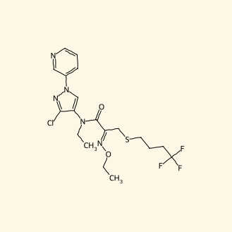 CCON=C(CSCCCC(F)(F)F)C(=O)N(CC)c1cn(-c2cccnc2)nc1Cl